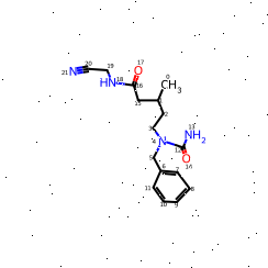 CC(CCN(Cc1ccccc1)C(N)=O)CC(=O)NCC#N